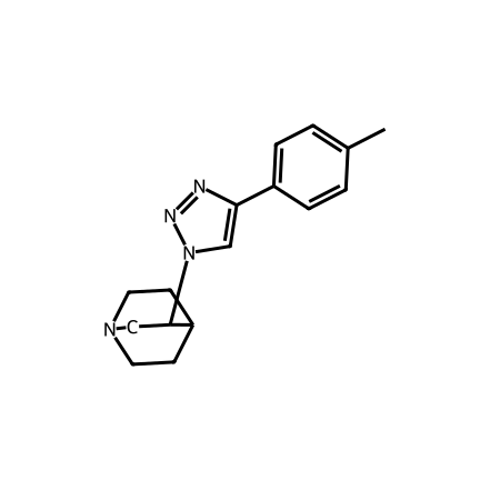 Cc1ccc(-c2cn(C3CN4CCC3CC4)nn2)cc1